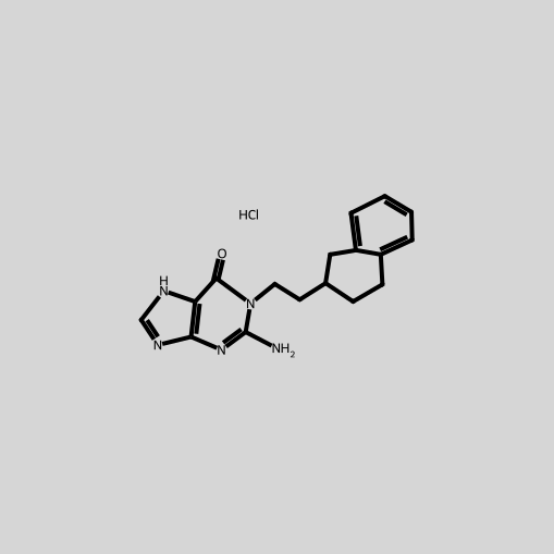 Cl.Nc1nc2nc[nH]c2c(=O)n1CCC1CCc2ccccc2C1